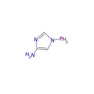 Nc1cn(P)cn1